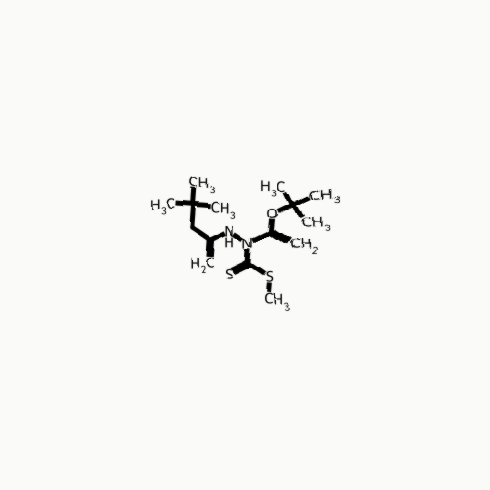 C=C(CC(C)(C)C)NN(C(=C)OC(C)(C)C)C(=S)SC